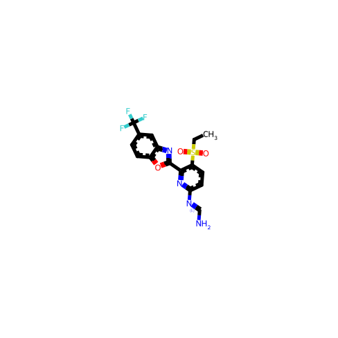 CCS(=O)(=O)c1ccc(/N=C/N)nc1-c1nc2cc(C(F)(F)F)ccc2o1